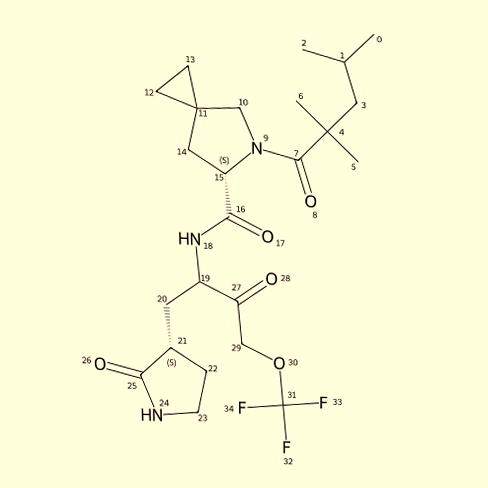 CC(C)CC(C)(C)C(=O)N1CC2(CC2)C[C@H]1C(=O)NC(C[C@@H]1CCNC1=O)C(=O)COC(F)(F)F